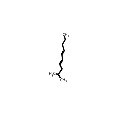 CCCC=CC=CCC(C)C